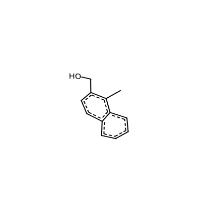 Cc1c(CO)ccc2ccccc12